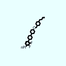 C=CCCC1CCC(COC2CCC(C3CCC(c4ccc(CCC)c(F)c4F)CC3)CC2)CC1